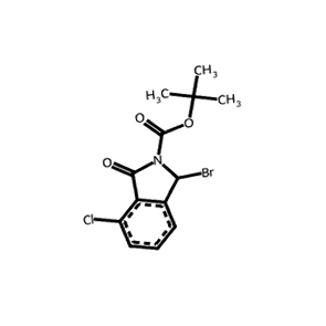 CC(C)(C)OC(=O)N1C(=O)c2c(Cl)cccc2C1Br